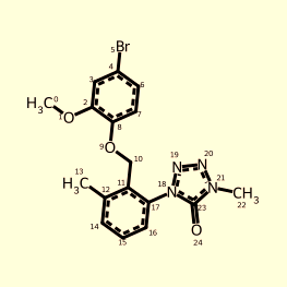 COc1cc(Br)ccc1OCc1c(C)cccc1-n1nnn(C)c1=O